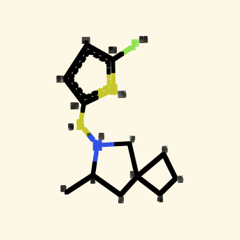 CC1CC2(CCC2)CN1Sc1ccc(F)s1